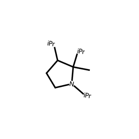 CC(C)C1CCN(C(C)C)C1(C)C(C)C